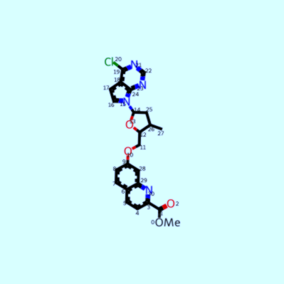 COC(=O)c1ccc2ccc(OCC3OC(n4ccc5c(Cl)ncnc54)CC3C)cc2n1